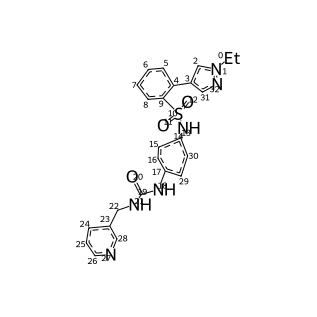 CCn1cc(-c2ccccc2S(=O)(=O)Nc2ccc(NC(=O)NCc3cccnc3)cc2)cn1